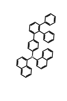 c1ccc(-c2cccc(-c3ccc(N(c4cccc5ccccc45)c4cccc5ccccc45)cc3)c2-c2ccccc2)cc1